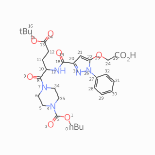 CCCCOC(=O)N1CCN(C(=O)C(CCC(=O)OC(C)(C)C)NC(=O)c2cc(OCC(=O)O)n(-c3ccccc3)n2)CC1